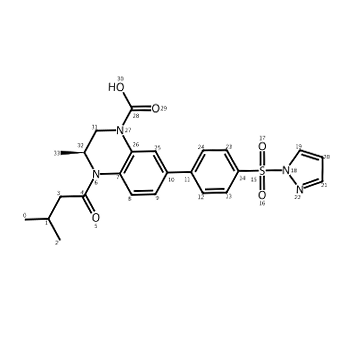 CC(C)CC(=O)N1c2ccc(-c3ccc(S(=O)(=O)n4cccn4)cc3)cc2N(C(=O)O)C[C@@H]1C